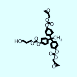 CC(c1ccc(OC(=O)OCCCO)cc1)(c1ccc(OC(=O)OCC2CO2)cc1)c1ccc(OC(=O)OCC2CO2)cc1